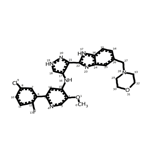 COc1cnc(-c2cc(Cl)ccc2F)cc1Nc1c[nH]nc1-c1nc2cc(CN3CCOCC3)ccc2[nH]1